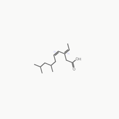 C/C=C(\C=C/CC(C)CC(C)C)CC(=O)O